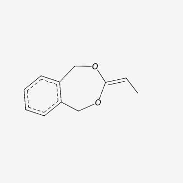 CC=C1OCc2ccccc2CO1